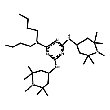 CCCCN(CCCC)c1nc(NC2CC(C)(C)N(C)C(C)(C)C2)nc(NC2CC(C)(C)N(C)C(C)(C)C2)n1